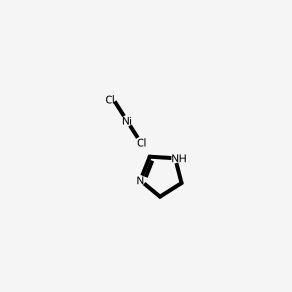 C1=NCCN1.[Cl][Ni][Cl]